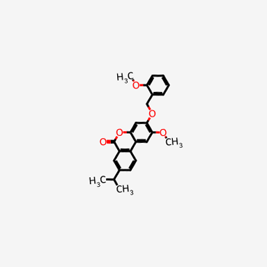 COc1ccccc1COc1cc2oc(=O)c3cc(C(C)C)ccc3c2cc1OC